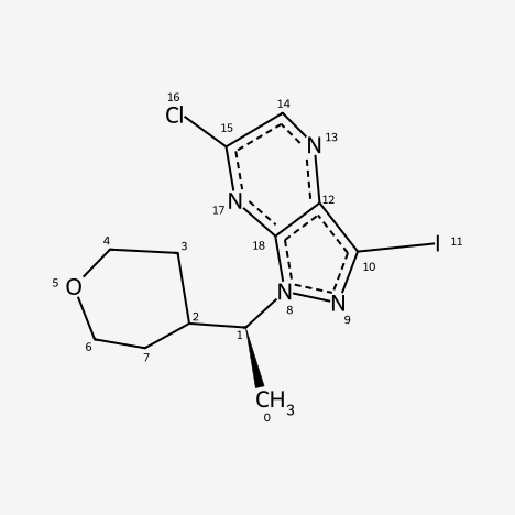 C[C@@H](C1CCOCC1)n1nc(I)c2ncc(Cl)nc21